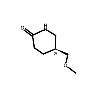 COC[C@H]1CCC(=O)NC1